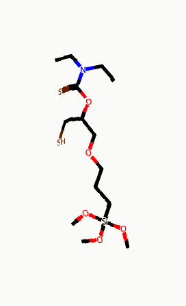 CCN(CC)C(=S)OC(CS)COCCC[Si](OC)(OC)OC